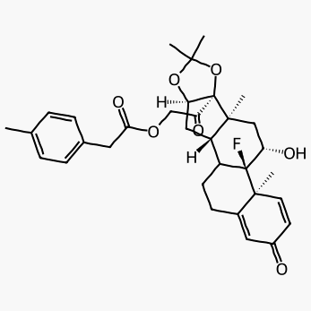 Cc1ccc(CC(=O)OCC(=O)[C@@]23OC(C)(C)O[C@@H]2C[C@H]2C4CCC5=CC(=O)C=C[C@]5(C)[C@@]4(F)[C@@H](O)C[C@@]23C)cc1